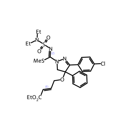 CCOC(=O)/C=C/COC1(c2ccccc2)CN(/C(=N/S(=O)(=O)N(CC)CC)SC)N=C1c1ccc(Cl)cc1